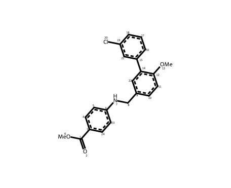 COC(=O)c1ccc(NCc2ccc(OC)c(-c3cccc(Cl)c3)c2)cc1